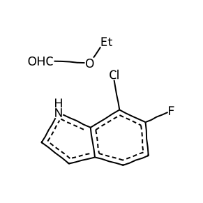 CCOC=O.Fc1ccc2cc[nH]c2c1Cl